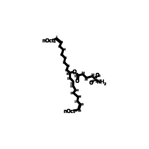 CCCCCCCC/C=C\CCCCCCCC(CCCCCCC/C=C\CCCCCCCC)OC(=O)CCCS(N)(=O)=O